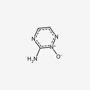 Nc1nccn[n+]1[O-]